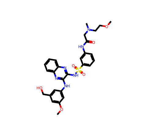 COCCN(C)CC(=O)Nc1cccc(S(=O)(=O)Nc2nc3ccccc3nc2Nc2cc(CO)cc(OC)c2)c1